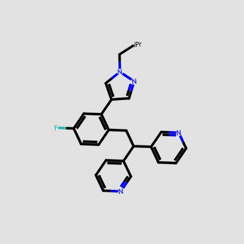 CC(C)Cn1cc(-c2cc(F)ccc2CC(c2cccnc2)c2cccnc2)cn1